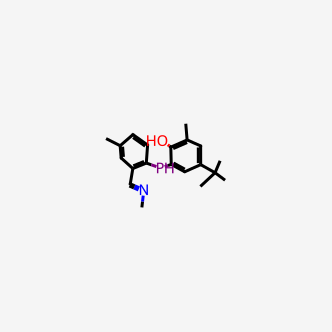 C/N=C/c1cc(C)ccc1Pc1cc(C(C)(C)C)cc(C)c1O